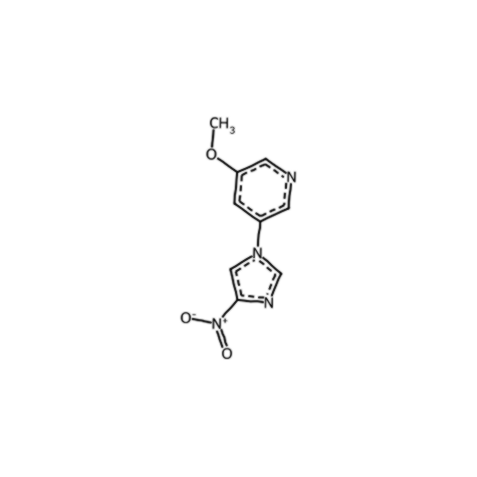 COc1cncc(-n2cnc([N+](=O)[O-])c2)c1